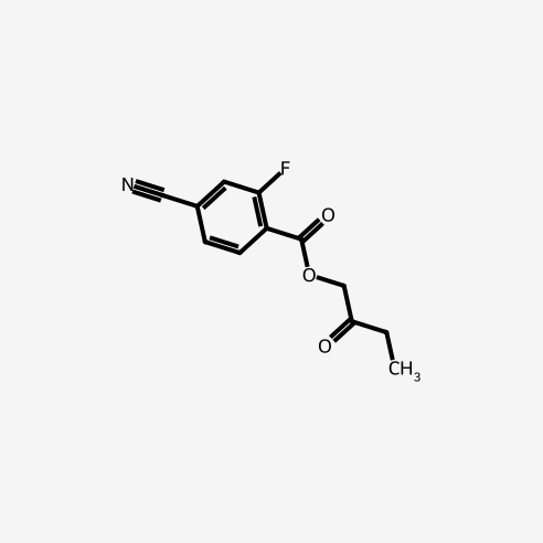 CCC(=O)COC(=O)c1ccc(C#N)cc1F